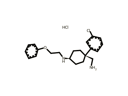 Cl.NC[C@]1(c2cccc(Cl)c2)CC[C@H](NCCOc2ccccc2)CC1